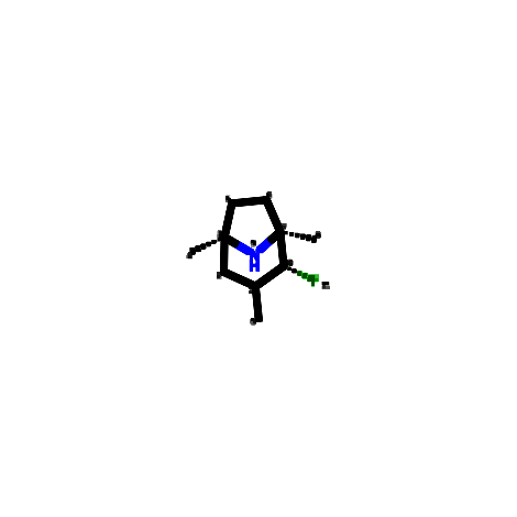 CC1C[C@@]2(C)CC[C@](C)(N2)[C@@H]1F